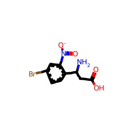 NC(CC(=O)O)c1ccc(Br)cc1[N+](=O)[O-]